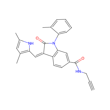 C#CCNC(=O)c1ccc2c(c1)N(c1ccccc1C)C(=O)/C2=C\c1[nH]c(C)cc1C